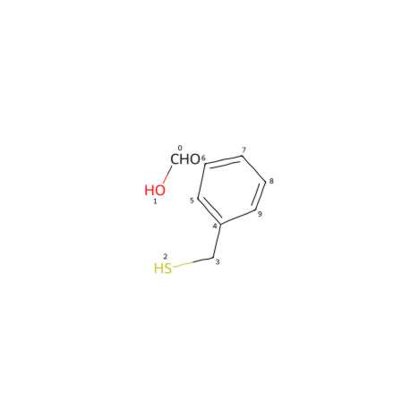 O=CO.SCc1ccccc1